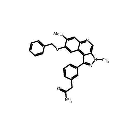 COc1cc2ncc3c(c(-c4cccc(CC(N)=O)c4)nn3C)c2cc1OCc1ccccc1